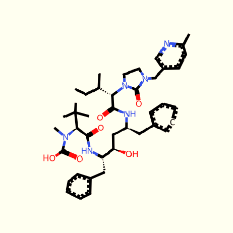 CCC(C)[C@@H](C(=O)N[C@@H](Cc1ccccc1)C[C@@H](O)[C@H](Cc1ccccc1)NC(=O)[C@@H](N(C)C(=O)O)C(C)(C)C)N1CCN(Cc2ccc(C)nc2)C1=O